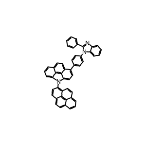 c1ccc(-c2nc3ccccc3n2-c2ccc(-c3ccc4c5c3ccc3cccc(c35)n4-c3ccc4ccc5cccc6ccc3c4c56)cc2)cc1